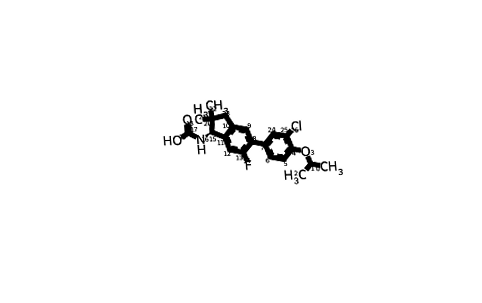 CC(C)Oc1ccc(-c2cc3c(cc2F)[C@H](NC(=O)O)C(C)(C)C3)cc1Cl